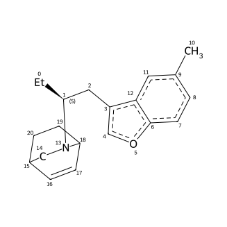 CC[C@@H](Cc1coc2ccc(C)cc12)N1CC2C=CC1CC2